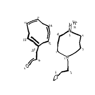 ClCN1CCNCC1.O=Cc1ccccc1.[H+]